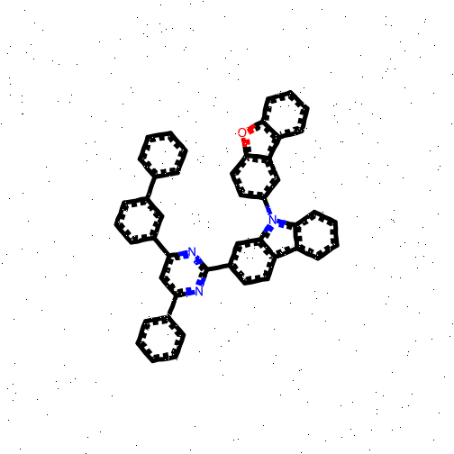 c1ccc(-c2cccc(-c3cc(-c4ccccc4)nc(-c4ccc5c6ccccc6n(-c6ccc7oc8ccccc8c7c6)c5c4)n3)c2)cc1